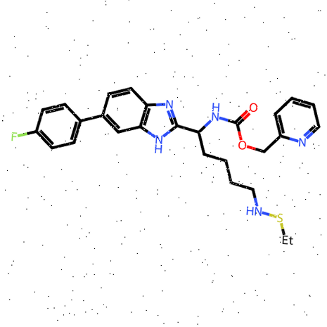 CCSNCCCCC(NC(=O)OCc1ccccn1)c1nc2ccc(-c3ccc(F)cc3)cc2[nH]1